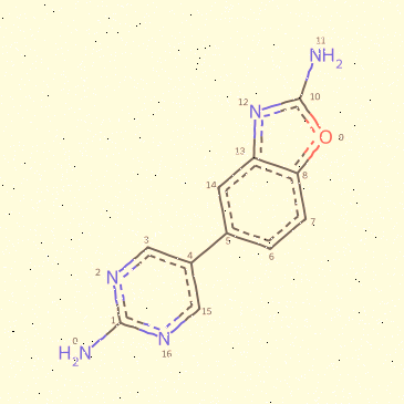 Nc1ncc(-c2ccc3oc(N)nc3c2)cn1